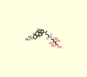 CO[C@@H]1C[C@@H]2C[C@H](O[Si](C)(C)C(C)(C)C)CC[C@]2(C)[C@H]2CC[C@]3(C)[C@@H](C(C)CCC(=O)NC[C@H](O)[C@@H](O)[C@H](O)[C@H](O)CO)CC[C@H]3[C@H]12